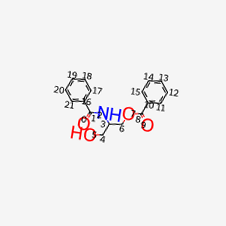 O=C(NC(CO)COC(=O)c1ccccc1)c1ccccc1